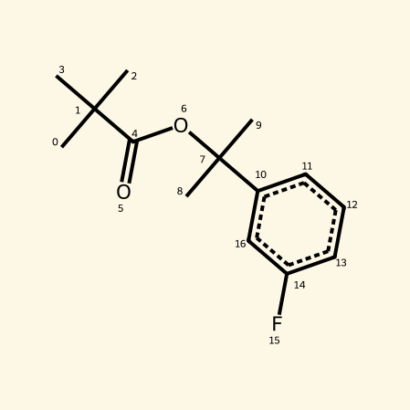 CC(C)(C)C(=O)OC(C)(C)c1cccc(F)c1